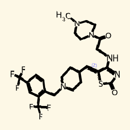 CN1CCN(C(=O)CNC2=NC(=O)S/C2=C\C2CCN(Cc3ccc(C(F)(F)F)cc3C(F)(F)F)CC2)CC1